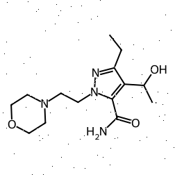 [CH2]C(O)c1c(CC)nn(CCN2CCOCC2)c1C(N)=O